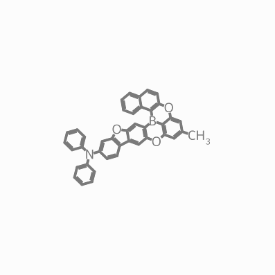 Cc1cc2c3c(c1)Oc1ccc4ccccc4c1B3c1cc3oc4cc(N(c5ccccc5)c5ccccc5)ccc4c3cc1O2